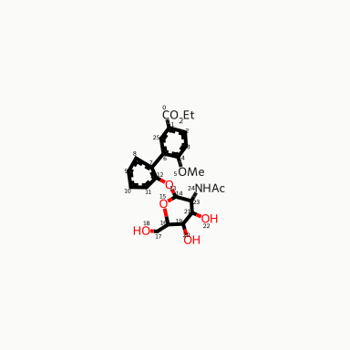 CCOC(=O)c1ccc(OC)c(-c2ccccc2OC2OC(CO)C(O)C(O)C2NC(C)=O)c1